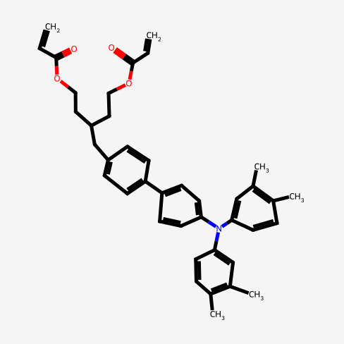 C=CC(=O)OCCC(CCOC(=O)C=C)Cc1ccc(-c2ccc(N(c3ccc(C)c(C)c3)c3ccc(C)c(C)c3)cc2)cc1